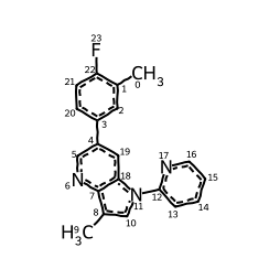 Cc1cc(-c2cnc3c(C)cn(-c4ccccn4)c3c2)ccc1F